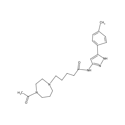 CC(=O)N1CCCN(CCCCC(=O)Nc2cc(-c3ccc(C)cc3)[nH]n2)CC1